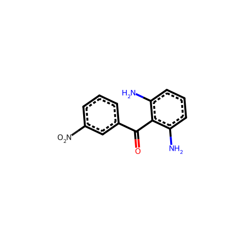 Nc1cccc(N)c1C(=O)c1cccc([N+](=O)[O-])c1